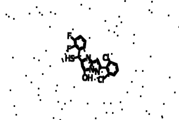 Oc1cc(C(S)c2cccc(F)c2F)nc2cc(-c3c(Cl)cccc3Cl)nn12